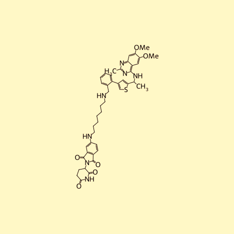 COc1cc2nc(C)nc(NC(C)c3cc(-c4ccccc4CNCCCCCCCNc4ccc5c(c4)C(=O)N(C4CCC(=O)NC4=O)C5=O)cs3)c2cc1OC